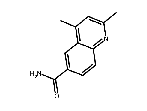 Cc1cc(C)c2cc(C(N)=O)ccc2n1